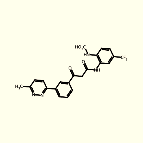 Cc1ccc(-c2cccc(C(=O)CC(=O)Nc3cc(C(F)(F)F)ccc3NC(=O)O)c2)nn1